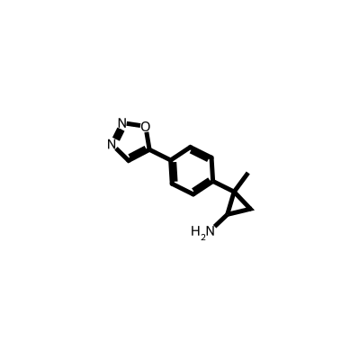 CC1(c2ccc(-c3cnno3)cc2)CC1N